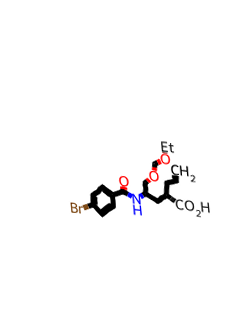 C=CCC(CC(COCOCC)NC(=O)c1ccc(Br)cc1)C(=O)O